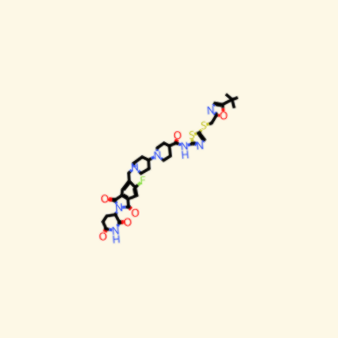 CC(C)(C)c1cnc(CSc2cnc(NC(=O)C3CCN(C4CCN(Cc5cc6c(cc5F)C(=O)N(C5CCC(=O)NC5=O)C6=O)CC4)CC3)s2)o1